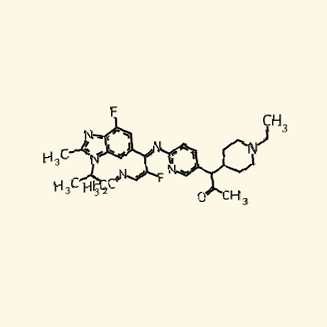 C=N/C=C(F)\C(=N/c1ccc(C(C(C)=O)C2CCN(CC)CC2)cn1)c1cc(F)c2nc(C)n(C(C)C)c2c1